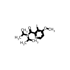 COc1ccnc(C(=O)N(C(C)C)C(C)C)c1I